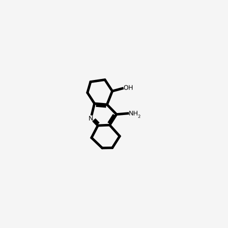 Nc1c2c(nc3c1C(O)CCC3)CCCC2